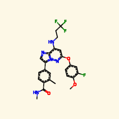 CNC(=O)c1ccc(-c2cnc3c(NCCC(F)(F)F)cc(Oc4ccc(OC)c(F)c4)nn23)cc1C